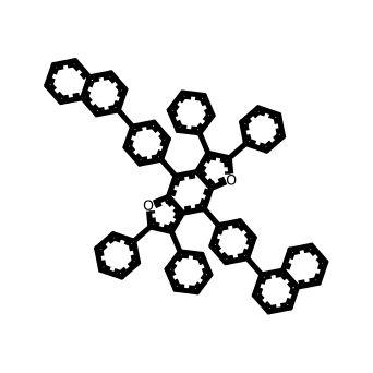 c1ccc(-c2oc3c(-c4ccc(-c5cccc6ccccc56)cc4)c4c(-c5ccccc5)c(-c5ccccc5)oc4c(-c4ccc(-c5ccc6ccccc6c5)cc4)c3c2-c2ccccc2)cc1